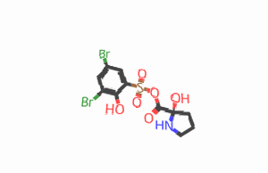 O=C(OS(=O)(=O)c1cc(Br)cc(Br)c1O)[C@]1(O)CCCN1